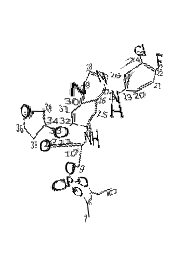 CCOP(=O)(OCC)OCC(=C=O)Nc1cc2c(Nc3ccc(F)c(Cl)c3)ncnc2cc1OC1CCOC1